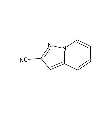 N#Cc1cc2ccccn2n1